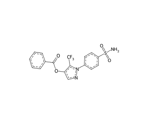 NS(=O)(=O)c1ccc(-n2ncc(OC(=O)c3ccccc3)c2C(F)(F)F)cc1